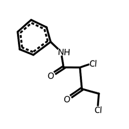 O=C(CCl)C(Cl)C(=O)Nc1ccccc1